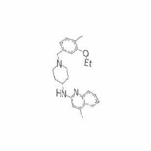 CCOc1cc(CN2CCC(Nc3cc(C)c4ccccc4n3)CC2)ccc1C